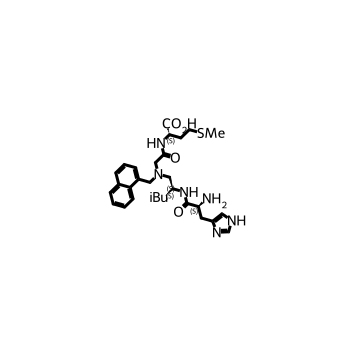 CC[C@H](C)[C@@H](CN(CC(=O)N[C@@H](CCSC)C(=O)O)Cc1cccc2ccccc12)NC(=O)[C@@H](N)Cc1c[nH]cn1